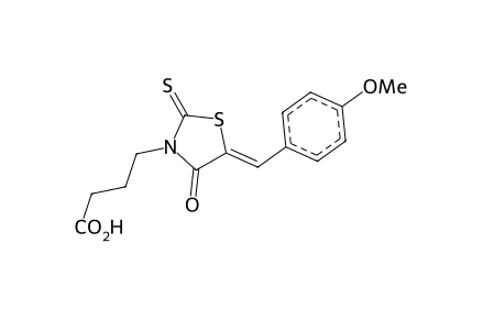 COc1ccc(/C=C2\SC(=S)N(CCCC(=O)O)C2=O)cc1